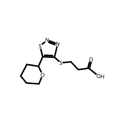 O=C(O)CCSc1nnsc1C1CCCCO1